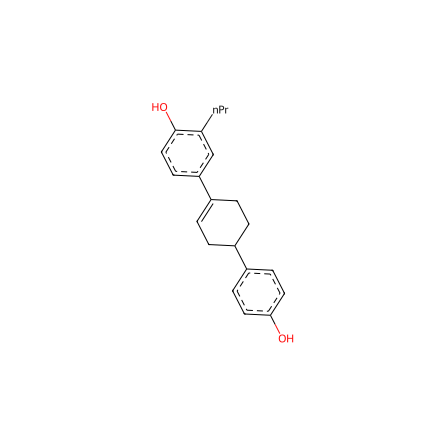 CCCc1cc(C2=CCC(c3ccc(O)cc3)CC2)ccc1O